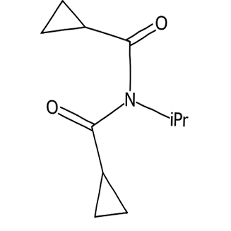 CC(C)N(C(=O)C1CC1)C(=O)C1CC1